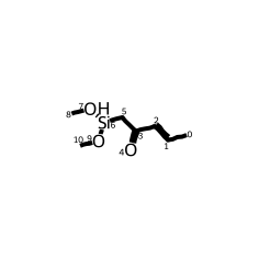 CC=CC(=O)C[SiH](OC)OC